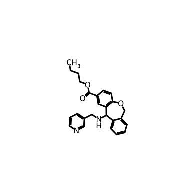 CCCCOC(=O)c1ccc2c(c1)C(NCc1cccnc1)c1ccccc1CO2